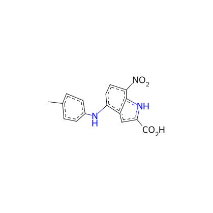 Cc1ccc(Nc2ccc([N+](=O)[O-])c3[nH]c(C(=O)O)cc23)cc1